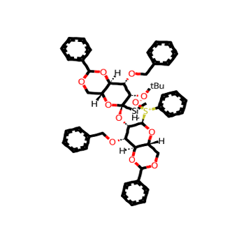 C[SiH](C)[C@]1(O[C@H]2[C@@H](OCc3ccccc3)[C@@H]3OC(c4ccccc4)OC[C@H]3O[C@@H]2[S+]([O-])c2ccccc2)O[C@@H]2COC(c3ccccc3)O[C@H]2[C@H](OCc2ccccc2)[C@@H]1OC(C)(C)C